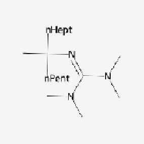 CCCCCCCC(C)(CCCCC)N=C(N(C)C)N(C)C